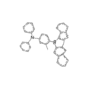 Cc1cc(N(c2ccccc2)c2ccccc2)ccc1B1c2cc3ccccc3cc2-c2sc3ccccc3c21